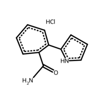 Cl.NC(=O)c1ccccc1-c1ccc[nH]1